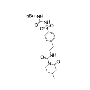 CCCCNC(=O)NS(=O)(=O)c1ccc(CCNC(=O)N2CCC(C)CC2=O)cc1